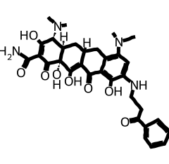 CN(C)c1cc(NCCC(=O)c2ccccc2)c(O)c2c1C[C@H]1C[C@@H]3[C@@H](N(C)C)C(O)=C(C(N)=O)C(=O)[C@]3(O)C(O)=C1C2=O